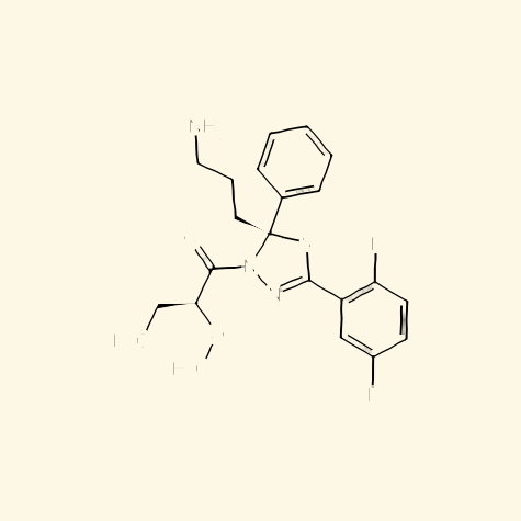 CC[C@H](OC)C(=O)N1N=C(c2cc(F)ccc2F)S[C@@]1(CCCN)c1ccccc1